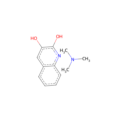 CN(C)C.Oc1cc2ccccc2nc1O